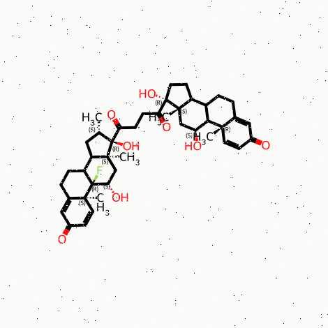 C[C@H]1CC2C3CCC4=CC(=O)C=C[C@]4(C)[C@@]3(F)[C@@H](O)C[C@]2(C)[C@@]1(O)C(=O)[CH]CC(=O)[C@@]1(O)CCC2C3CCC4=CC(=O)C=C[C@]4(C)C3[C@@H](O)C[C@@]21C